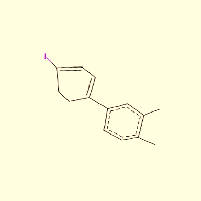 Cc1ccc(C2=CC=C(I)CC2)cc1C